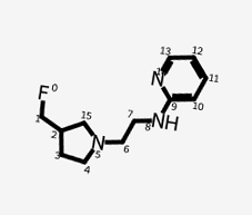 FCC1CCN(CCNc2ccccn2)C1